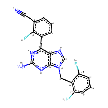 N#Cc1cccc(-c2nc(N)nc3c2ncn3Cc2c(F)cccc2F)c1F